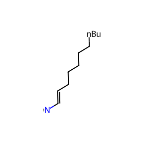 CCCCCCCCCC=C[N]